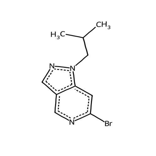 CC(C)Cn1ncc2cnc(Br)cc21